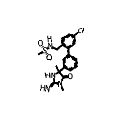 CN1C(=N)NC(C)(c2cccc(-c3cc(Cl)ccc3CNS(C)(=O)=O)c2)C1=O